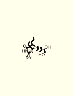 C=CC.C=CC.CCCC(C)C1(CC)C(=O)N=C([O-])NC1=O.OCCO.[Na+]